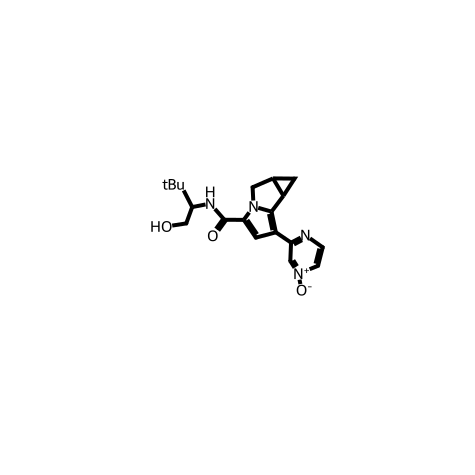 CC(C)(C)C(CO)NC(=O)c1cc(-c2c[n+]([O-])ccn2)c2n1CC1CC21